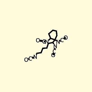 O=C=NCCCCCC(N=C=O)C1(N=C=O)CCCCC1N=C=O